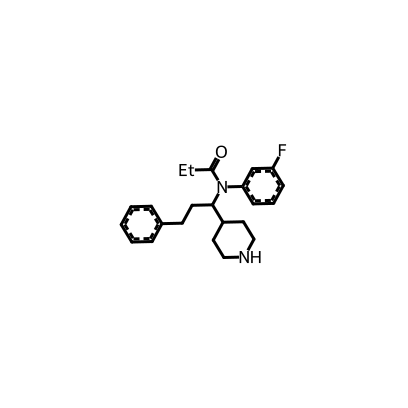 CCC(=O)N(c1cccc(F)c1)C(CCc1ccccc1)C1CCNCC1